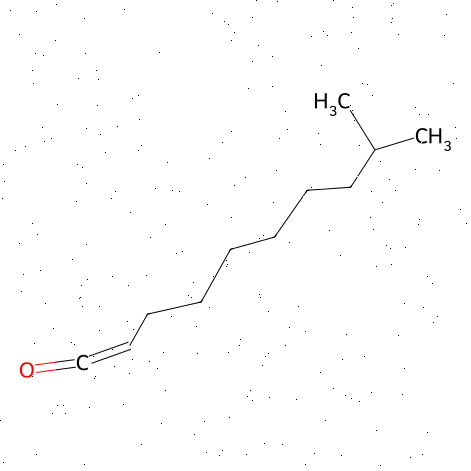 CC(C)CCCCCCC=C=O